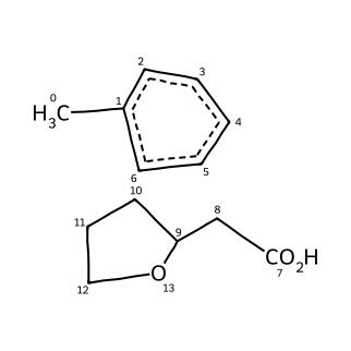 Cc1ccccc1.O=C(O)CC1CCCO1